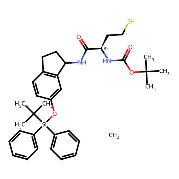 C.CC(C)(C)OC(=O)N[C@H](CCS)C(=O)NC1CCc2ccc(O[Si](c3ccccc3)(c3ccccc3)C(C)(C)C)cc21